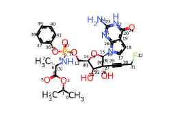 CC(C)OC(=O)[C@H](C)NP(=O)(OC[C@H]1O[C@@H](n2ccc3c(=O)[nH]c(N)nc32)[C@@](O)(C#CCF)[C@H]1O)Oc1ccccc1